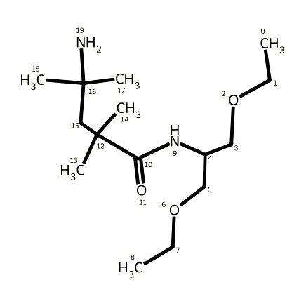 CCOCC(COCC)NC(=O)C(C)(C)CC(C)(C)N